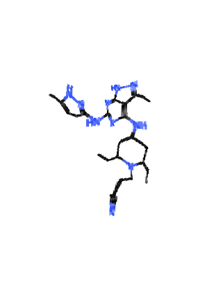 CCC1CC(Nc2nc(Nc3cc(C)[nH]n3)nc3[nH]nc(C)c23)CC(CC)N1CCC#N